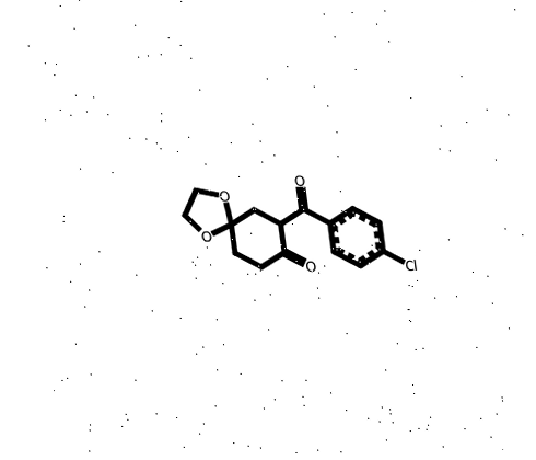 O=C1CCC2(CC1C(=O)c1ccc(Cl)cc1)OCCO2